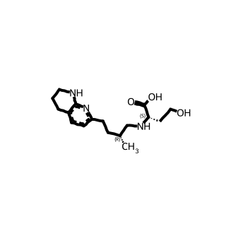 C[C@H](CCc1ccc2c(n1)NCCC2)CN[C@@H](CCO)C(=O)O